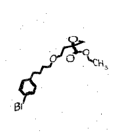 CCOC(=O)C1(CCOCCCCc2ccc(Br)cc2)CO1